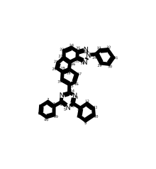 c1ccc(-c2nc(-c3ccccc3)nc(-c3ccc4c(ccc5ccc6nn(-c7ccccc7)nc6c54)c3)n2)cc1